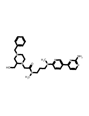 CN(CCCN(C)c1ccc(-c2ccnc(N)n2)cn1)C(=O)CN1CCN(Cc2ccccc2)CC1CO